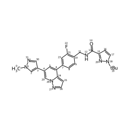 Cn1cc(-c2cc(-c3ccc(CNC(=O)c4ccn(C(C)(C)C)n4)c(F)c3)c3ccnn3c2)cn1